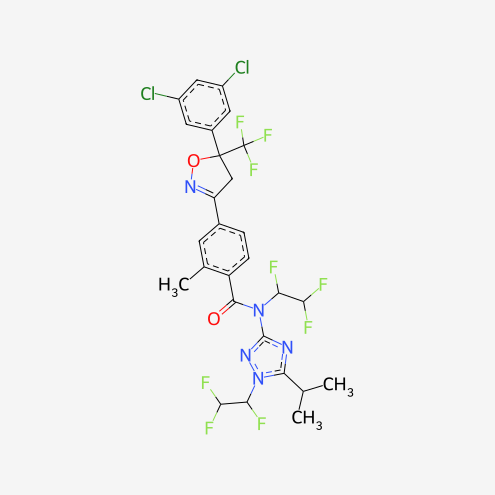 Cc1cc(C2=NOC(c3cc(Cl)cc(Cl)c3)(C(F)(F)F)C2)ccc1C(=O)N(c1nc(C(C)C)n(C(F)C(F)F)n1)C(F)C(F)F